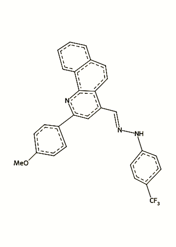 COc1ccc(-c2cc(/C=N/Nc3ccc(C(F)(F)F)cc3)c3ccc4ccccc4c3n2)cc1